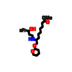 CCCC(O)CCNC(CCCCCCC(=O)OC)COC1CCCCO1